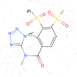 CC(C)S(=O)(=O)c1c(S(C)(=O)=O)ccc(C(=O)N(C)c2nnnn2C)c1Cl